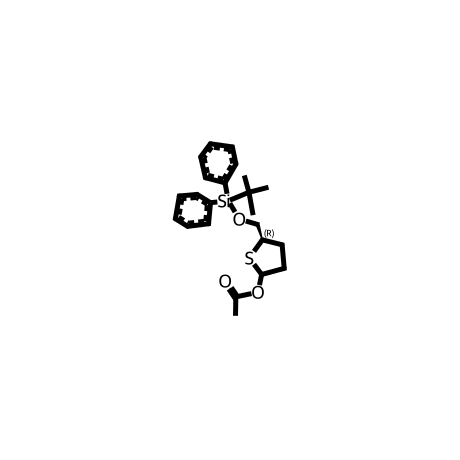 CC(=O)OC1CC[C@H](CO[Si](c2ccccc2)(c2ccccc2)C(C)(C)C)S1